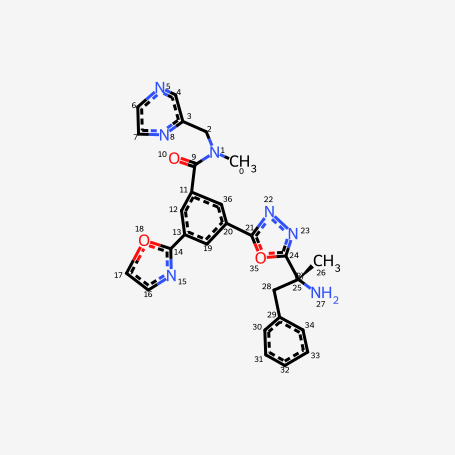 CN(Cc1cnccn1)C(=O)c1cc(-c2ncco2)cc(-c2nnc([C@](C)(N)Cc3ccccc3)o2)c1